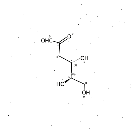 O=CC(=O)C[C@H](O)[C@H](O)CO